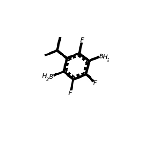 Bc1c(F)c(F)c(B)c(C(C)C)c1F